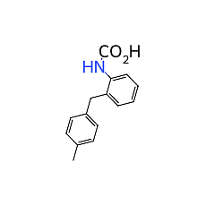 Cc1ccc(Cc2ccccc2NC(=O)O)cc1